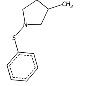 CC1CCN(Sc2ccccc2)C1